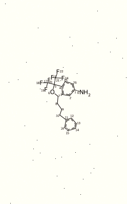 Nc1ccc(C(OCCCCc2ccccc2)(C(F)(F)F)C(F)(F)F)cc1